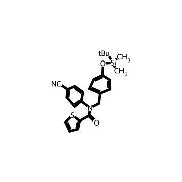 CC(C)(C)[Si](C)(C)Oc1ccc(CN(C(=O)c2cccs2)c2ccc(C#N)cc2)cc1